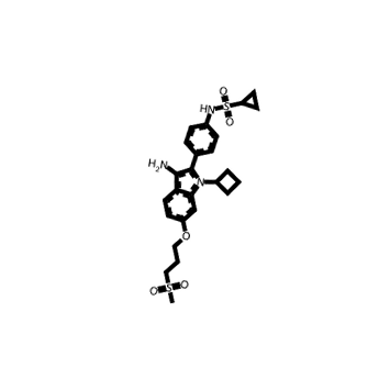 CS(=O)(=O)CCCOc1ccc2c(N)c(-c3ccc(NS(=O)(=O)C4CC4)cc3)n(C3CCC3)c2c1